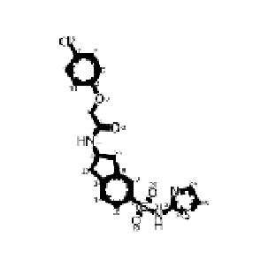 O=C(COc1ccc(Cl)cc1)NC1Cc2ccc(S(=O)(=O)Nc3nccs3)cc2C1